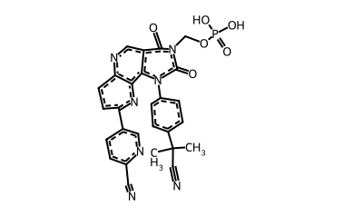 CC(C)(C#N)c1ccc(-n2c(=O)n(COP(=O)(O)O)c(=O)c3cnc4ccc(-c5ccc(C#N)nc5)nc4c32)cc1